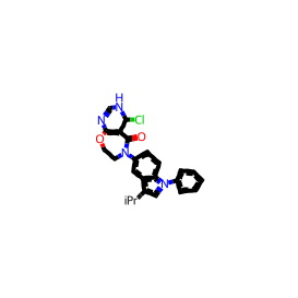 CC(C)c1cn(-c2ccccc2)c2ccc(N3CCOC4=C(C3=O)C(Cl)NC=N4)cc12